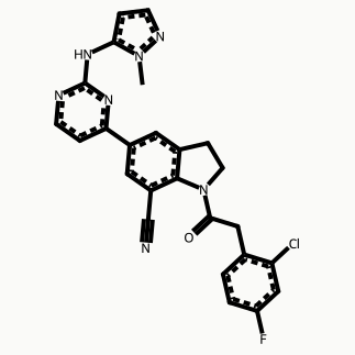 Cn1nccc1Nc1nccc(-c2cc(C#N)c3c(c2)CCN3C(=O)Cc2ccc(F)cc2Cl)n1